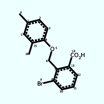 Cc1ccc(OCc2c(Br)cccc2C(=O)O)c(C)c1